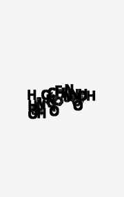 CC(C)n1c(CN2C[C@H]3COC[C@H]3C2)cc(=O)c2ccc(-c3nc(N[C@@H]4CCOC[C@H]4O)ncc3F)cc21